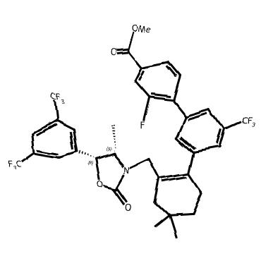 COC(=O)c1ccc(-c2cc(C3=C(CN4C(=O)O[C@H](c5cc(C(F)(F)F)cc(C(F)(F)F)c5)[C@@H]4C)CC(C)(C)CC3)cc(C(F)(F)F)c2)c(F)c1